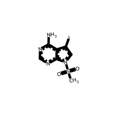 CS(=O)(=O)n1cc(I)c2c(N)ncnc21